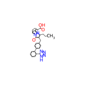 CCCc1c(Cc2ccc(-c3ccccc3-c3nnn[nH]3)cc2)c(=O)n2n1C1(C(=O)O)CCC2CC1